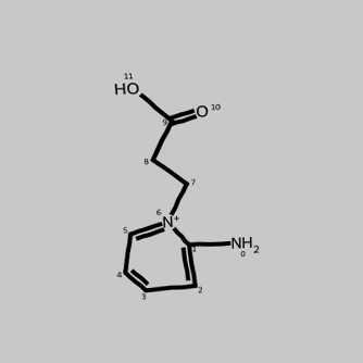 Nc1cccc[n+]1CCC(=O)O